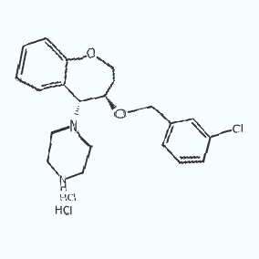 Cl.Cl.Clc1cccc(CO[C@@H]2COc3ccccc3[C@H]2N2CCNCC2)c1